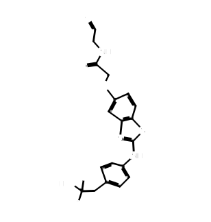 C=CCNC(=O)COc1ccc2[nH]c(Nc3ccc(CC(C)(F)F)cc3)nc2c1